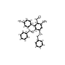 CC(C)c1cc(OCc2ccccc2)c(OCc2ccccc2)c(-c2ccc(F)cc2)c1CCl